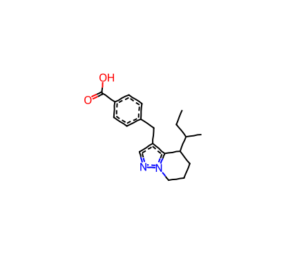 CCC(C)C1CCCn2ncc(Cc3ccc(C(=O)O)cc3)c21